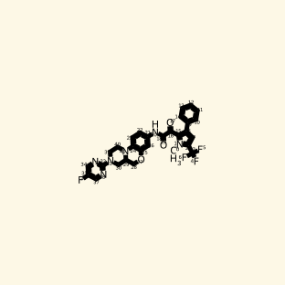 Cn1c(C(F)(F)F)cc(-c2ccccc2)c1C(=O)C(=O)Nc1ccc2c(c1)OCC1CN(c3ncc(F)cn3)CCN21